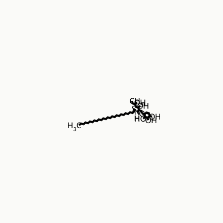 CCCCCCCCCCCCCCCCCCCCCCCCCC(=S)NC(COC1C=CC(O)C(O)C1O)C(O)CC(O)CC